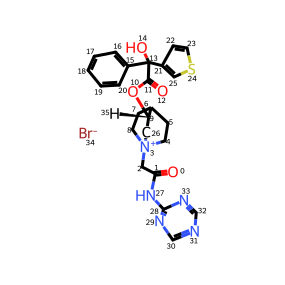 O=C(C[N+]12CCC(CC1)[C@@H](OC(=O)C(O)(c1ccccc1)c1ccsc1)C2)Nc1ncncn1.[Br-]